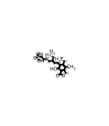 CC/C(=C\Cc1c(O)c2c(c(C)c1CC)COC2=O)CNCCP(=O)(O)O